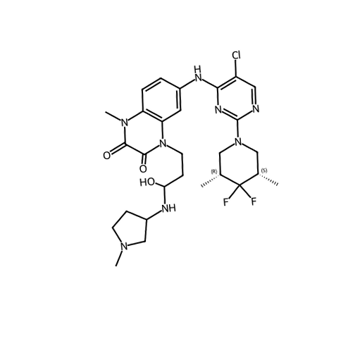 C[C@@H]1CN(c2ncc(Cl)c(Nc3ccc4c(c3)n(CCC(O)NC3CCN(C)C3)c(=O)c(=O)n4C)n2)C[C@H](C)C1(F)F